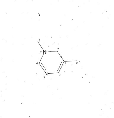 CC1=CN=[C]N(C)C1